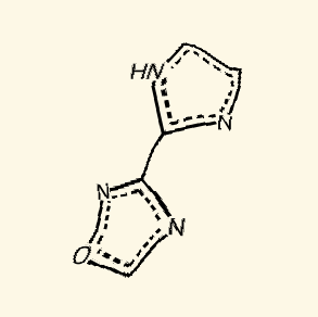 c1c[nH]c(-c2ncon2)n1